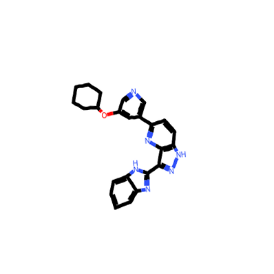 c1ccc2[nH]c(-c3n[nH]c4ccc(-c5cncc(OC6CCCCC6)c5)nc34)nc2c1